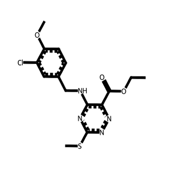 CCOC(=O)c1nnc(SC)nc1NCc1ccc(OC)c(Cl)c1